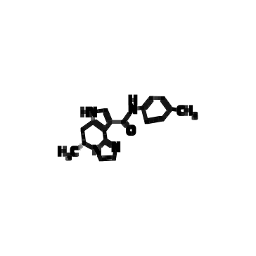 Cc1ccc(NC(=O)c2c[nH]c3c2-c2nccn2[C@H](C)C3)cc1